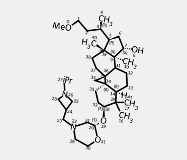 COCC[C@@H](C)[C@H]1C[C@H](O)[C@@]2(C)C3CC[C@H]4C(C)(C)[C@@H](O[C@H]5CN(CC6CN(C(C)C)C6)CCO5)CC[C@@]45C[C@@]35CC[C@]12C